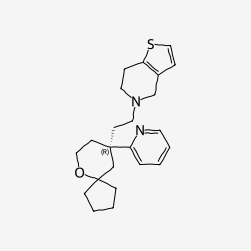 c1ccc([C@]2(CCN3CCc4sccc4C3)CCOC3(CCCC3)C2)nc1